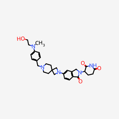 CN(CCO)c1ccc(CN2CCC3(CC2)CN(c2ccc4c(c2)CN(C2CCC(=O)NC2=O)C4=O)C3)cc1